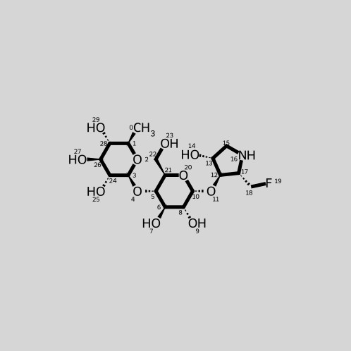 C[C@H]1O[C@@H](O[C@H]2[C@H](O)[C@@H](O)[C@@H](O[C@H]3[C@H](O)CN[C@@H]3CF)O[C@@H]2CO)[C@H](O)[C@@H](O)[C@@H]1O